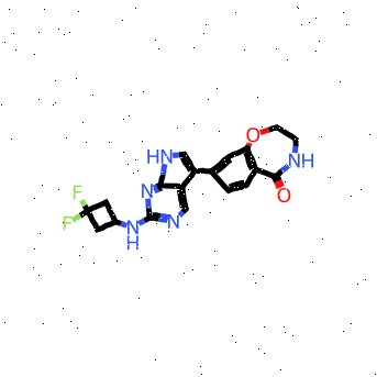 O=C1NCCOc2cc(-c3c[nH]c4nc(NC5CC(F)(F)C5)ncc34)ccc21